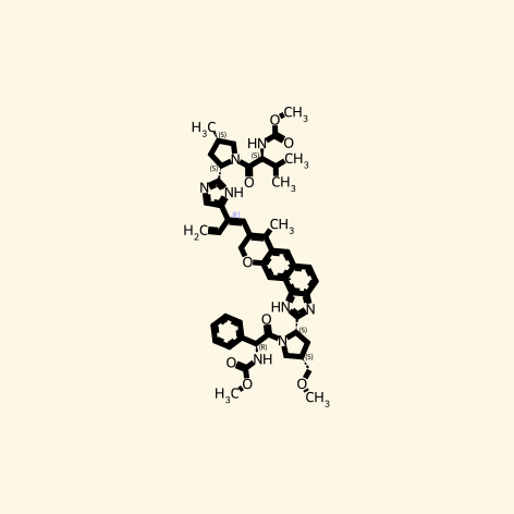 C=C/C(=C\C1=C(C)c2cc3ccc4nc([C@@H]5C[C@H](COC)CN5C(=O)[C@H](NC(=O)OC)c5ccccc5)[nH]c4c3cc2OC1)c1cnc([C@@H]2C[C@H](C)CN2C(=O)[C@@H](NC(=O)OC)C(C)C)[nH]1